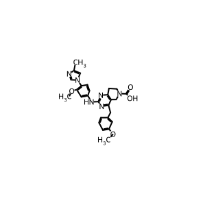 COc1cccc(Cc2nc(Nc3ccc(-n4cnc(C)c4)c(OC)c3)nc3c2CN(C(=O)O)CC3)c1